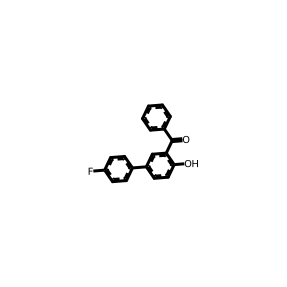 O=C(c1ccccc1)c1cc(-c2ccc(F)cc2)ccc1O